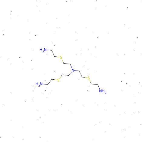 NCCSCCN(CCSCCN)CCSCCN